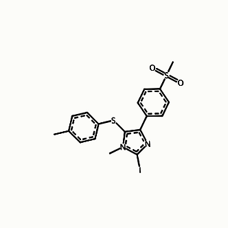 Cc1ccc(Sc2c(-c3ccc(S(C)(=O)=O)cc3)nc(I)n2C)cc1